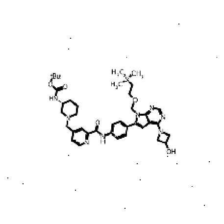 CC(C)(C)OC(=O)N[C@@H]1CCCN(Cc2ccnc(C(=O)Nc3ccc(-c4cc5c(N6CC(O)C6)ncnc5n4COCC[Si](C)(C)C)cc3)c2)C1